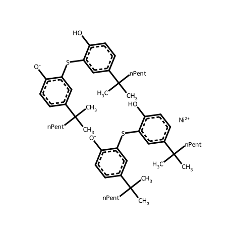 CCCCCC(C)(C)c1ccc([O-])c(Sc2cc(C(C)(C)CCCCC)ccc2O)c1.CCCCCC(C)(C)c1ccc([O-])c(Sc2cc(C(C)(C)CCCCC)ccc2O)c1.[Ni+2]